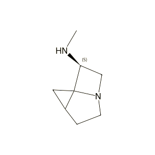 CN[C@H]1CN2CCC3CC312